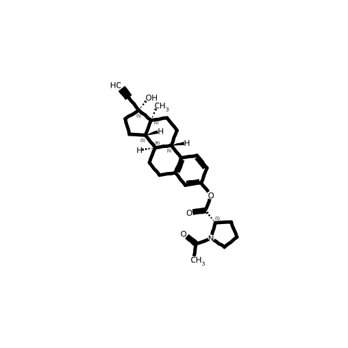 C#C[C@]1(O)CC[C@H]2[C@@H]3CCc4cc(OC(=O)[C@@H]5CCCN5C(C)=O)ccc4[C@H]3CC[C@@]21C